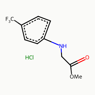 COC(=O)CNc1ccc(C(F)(F)F)cc1.Cl